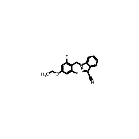 CCOc1cc(F)c(Cn2nc(C#N)c3ccccc32)c(F)c1